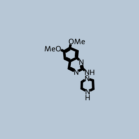 COc1cc2cnc(NN3CCNCC3)nc2cc1OC